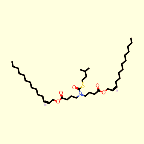 CCCCCCCCCCC/C=C\COC(=O)CCCN(CCCC(=O)OC/C=C\CCCCCCCCCCC)C(=O)SCCC(C)C